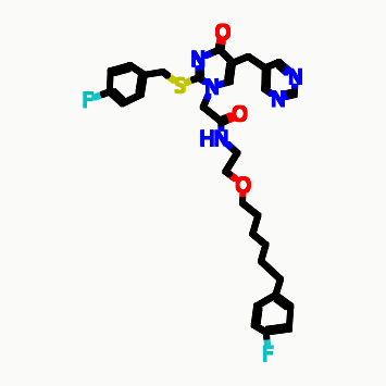 O=C(Cn1cc(Cc2cncnc2)c(=O)nc1SCc1ccc(F)cc1)NCCOCCCCCCc1ccc(F)cc1